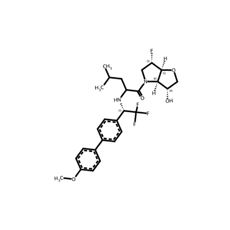 COc1ccc(-c2ccc([C@H](NC(CC(C)C)C(=O)N3C[C@H](F)[C@H]4OC[C@H](O)[C@H]43)C(F)(F)F)cc2)cc1